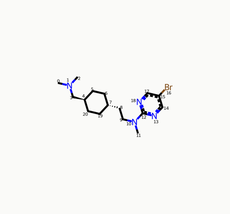 CN(C)C[C@H]1CC[C@H](CCN(C)c2ncc(Br)cn2)CC1